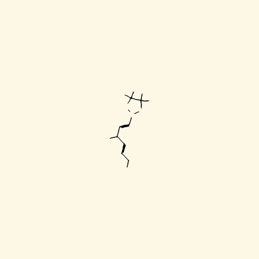 CCC=CC(C)C=CB1OC(C)(C)C(C)(C)O1